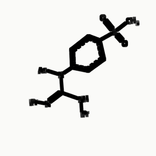 CC(=O)N(/C(=N\C(C)C)NC(C)C)c1ccc(S(C)(=O)=O)cc1